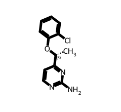 C[C@@H](Oc1ccccc1Cl)c1ccnc(N)n1